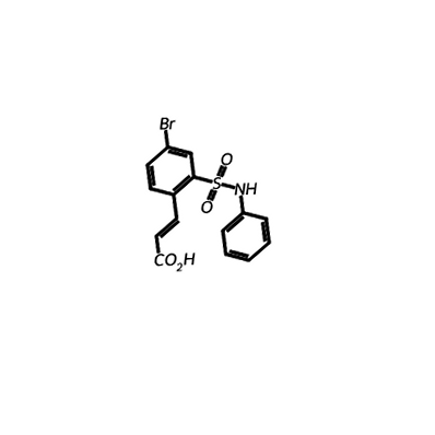 O=C(O)C=Cc1ccc(Br)cc1S(=O)(=O)Nc1ccccc1